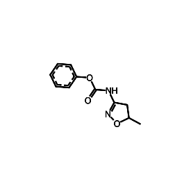 CC1CC(NC(=O)Oc2ccccc2)=NO1